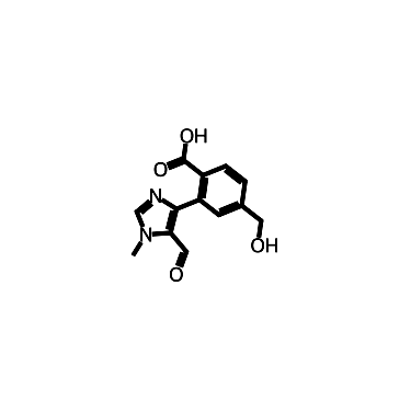 Cn1cnc(-c2cc(CO)ccc2C(=O)O)c1C=O